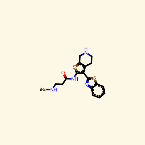 CCC(C)NCCC(=O)Nc1sc2c(c1-c1nc3ccccc3s1)CCNC2